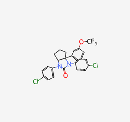 O=C1N(c2ccc(Cl)cc2)C2CCCC2(c2cccc(OC(F)(F)F)c2)N1c1ccc(Cl)cc1